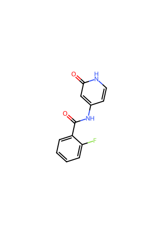 O=C(Nc1cc[nH]c(=O)c1)c1ccccc1F